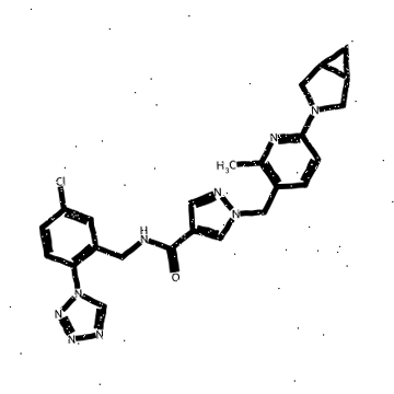 Cc1nc(N2CC3CC3C2)ccc1Cn1cc(C(=O)NCc2cc(Cl)ccc2-n2cnnn2)cn1